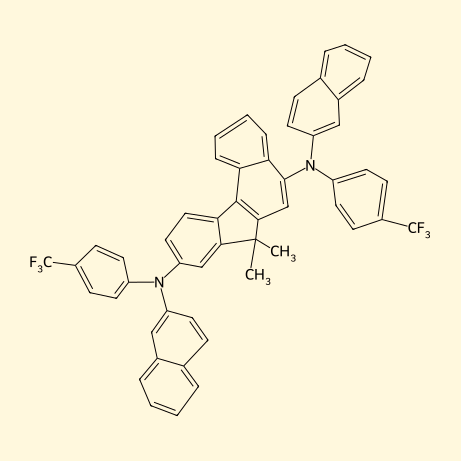 CC1(C)c2cc(N(c3ccc(C(F)(F)F)cc3)c3ccc4ccccc4c3)ccc2-c2c1cc(N(c1ccc(C(F)(F)F)cc1)c1ccc3ccccc3c1)c1ccccc21